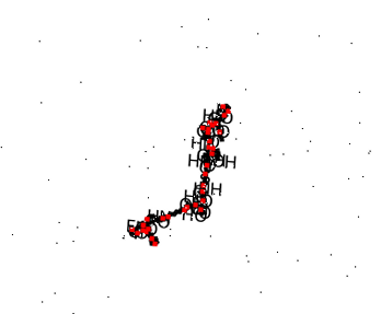 CCCC(=O)OCN(C(=O)CNC(=O)C1CCCCN1C)[C@H](C[C@@H](OC(C)=O)c1nc(C(=O)N[C@H](CCC(=O)NNC(=O)OCCSSCCNC(=O)CNC(=O)[C@@H](CCC(=O)O)NC(=O)CNC(=O)CCCCCCCNC(=O)CCc2cccc(-c3c(C)n(Cc4c(F)cccc4F)c(=O)n(CCc4ccccc4)c3=O)c2)Cc2ccc(O)cc2)cs1)C(C)C